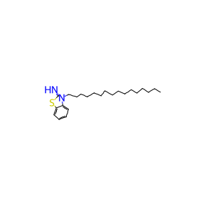 CCCCCCCCCCCCCCCCn1c(=N)sc2ccccc21